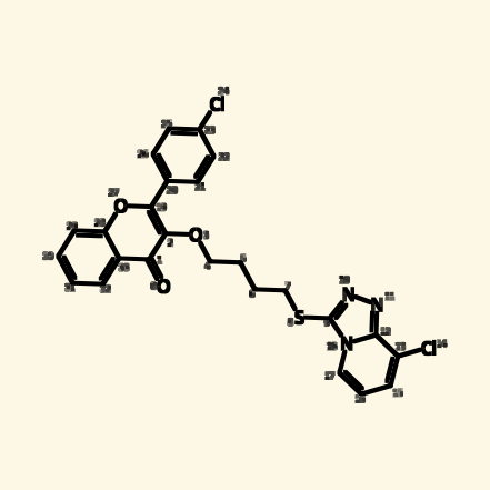 O=c1c(OCCCCSc2nnc3c(Cl)cccn23)c(-c2ccc(Cl)cc2)oc2ccccc12